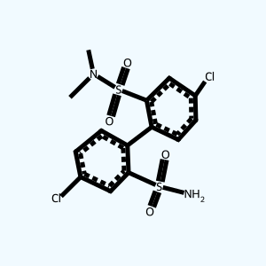 CN(C)S(=O)(=O)c1cc(Cl)ccc1-c1ccc(Cl)cc1S(N)(=O)=O